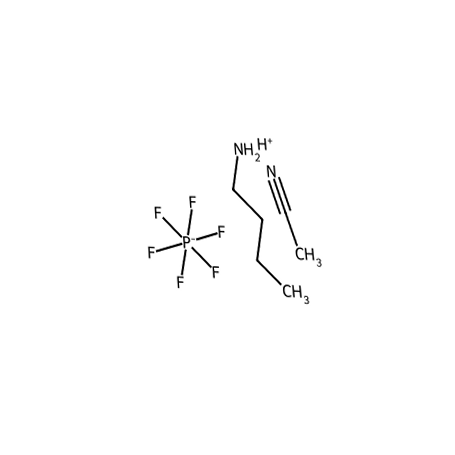 CC#N.CCCCN.F[P-](F)(F)(F)(F)F.[H+]